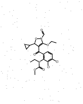 CCOC1=C(C(=O)c2ccc(Cl)c(Cl)c2N(CC)C(=O)OC)C(C2CC2)ON1C=O